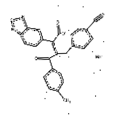 Cc1ccc(C(=O)C(Cc2ccc(C#N)cc2)=C(C(=O)[O-])c2ccc3nsnc3c2)cc1.[Na+]